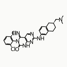 CN(C)C[C@H]1CCc2cc(Nc3ncc4c(=N)n(-c5c(Cl)cccc5Cl)c(=O)[nH]c4n3)ccc2C1